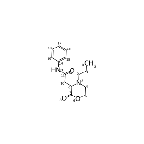 CCCN1CCOC(=O)C1CC(=O)Nc1ccccc1